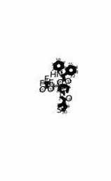 O=C(C[N+]12CCC(CC1)[C@@H](OC(=O)C(Nc1ccccc1)c1ccccc1)C2)c1ccsc1.O=C([O-])C(F)(F)F